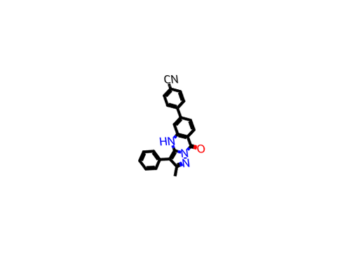 Cc1nn2c(=O)c3ccc(-c4ccc(C#N)cc4)cc3[nH]c2c1-c1ccccc1